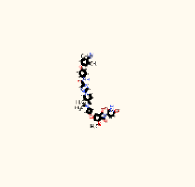 COc1cc(OC2CC(N(CC3CCN(c4cnc(C(=O)NC5CCC(Oc6cc(C)c(C#N)c(C)c6)CC5)cn4)CC3)C(C)C)C2)cc2c1C(=O)N([C@@H]1CCC(=O)NC1=O)C2=O